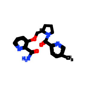 NC(=O)c1ncccc1OC[C@H]1CCCN1C(=O)c1ccc(C(F)(F)F)cn1